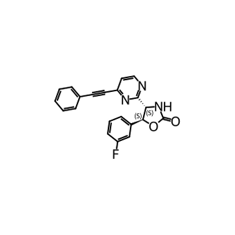 O=C1N[C@@H](c2nccc(C#Cc3ccccc3)n2)[C@H](c2cccc(F)c2)O1